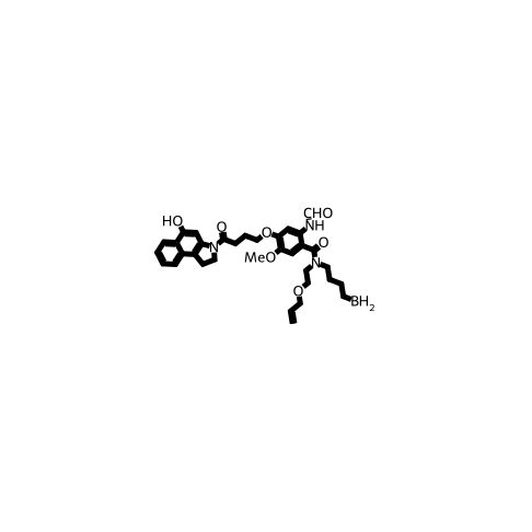 BCCCCN(CCOCC=C)C(=O)c1cc(OC)c(OCCCC(=O)N2CCc3c2cc(O)c2ccccc32)cc1NC=O